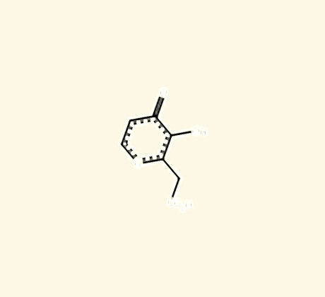 O=C(O)Cc1occc(=O)c1O